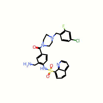 NCc1cc(C(=O)N2CCN(Cc3ccc(Cl)cc3F)CC2)ccc1NS(=O)(=O)c1cccc2cccnc12